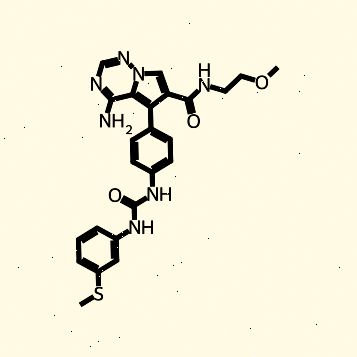 COCCNC(=O)c1cn2ncnc(N)c2c1-c1ccc(NC(=O)Nc2cccc(SC)c2)cc1